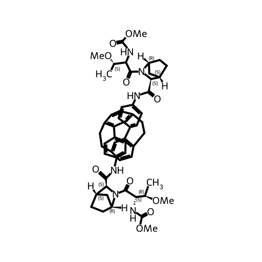 COC(=O)NC(C(=O)N1[C@@H]2CC[C@@H](C2)[C@H]1C(=O)Nc1ccc(-c2cc3ccc2CCc2ccc(c(-c4ccc(NC(=O)[C@@H]5[C@H]6CC[C@H](C6)N5C(=O)[C@@H](NC(=O)OC)[C@@H](C)OC)cc4)c2)CC3)cc1)[C@H](C)OC